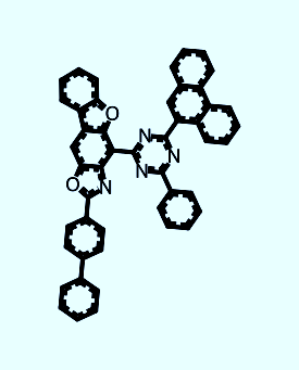 c1ccc(-c2ccc(-c3nc4c(-c5nc(-c6ccccc6)nc(-c6cc7ccccc7c7ccccc67)n5)c5oc6ccccc6c5cc4o3)cc2)cc1